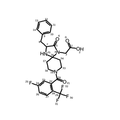 O=C(O)CN1C(=O)C(Cc2ccccc2)NC12CCN(C(=O)c1cc(F)ccc1C(F)(F)F)CC2